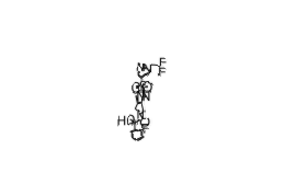 O=C([C@H](O)c1ccccc1F)N1Cc2cn(S(=O)(=O)c3cnn(CC(F)F)c3)nc2C1